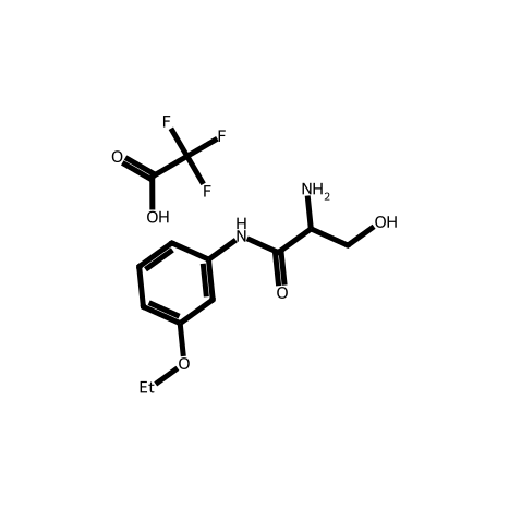 CCOc1cccc(NC(=O)C(N)CO)c1.O=C(O)C(F)(F)F